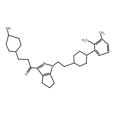 Cc1cccc(C2CCC(CCn3nc(C(=O)CCC4CCC(O)CC4)c4c3CCC4)CC2)c1C